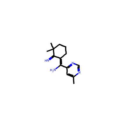 Cc1cc(/C(N)=C2\CCCC(C)(C)C2=N)ncn1